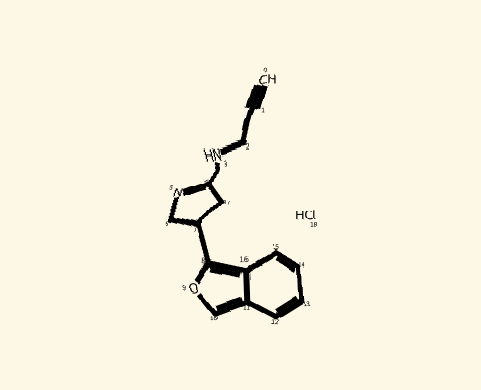 C#CCNC1=NCC(c2occ3ccccc23)C1.Cl